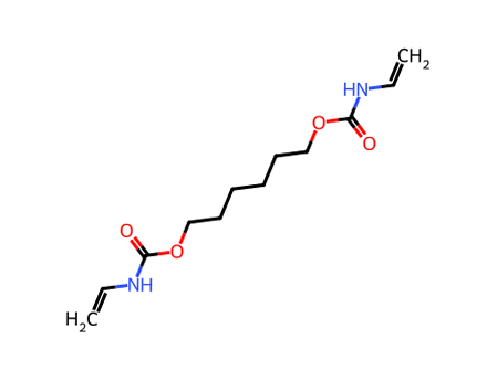 C=CNC(=O)OCCCCCCOC(=O)NC=C